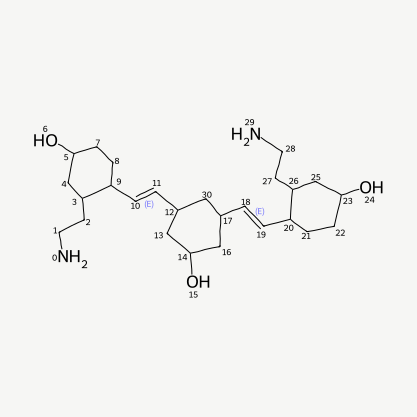 NCCC1CC(O)CCC1/C=C/C1CC(O)CC(/C=C/C2CCC(O)CC2CCN)C1